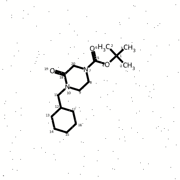 CC(C)(C)OC(=O)N1CCN(CC2CCCCC2)C(=O)C1